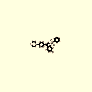 O=S(=O)(c1ccccc1)n1cc(-c2ccc(N3CCOCC3)nc2)c2ccc(F)cc21